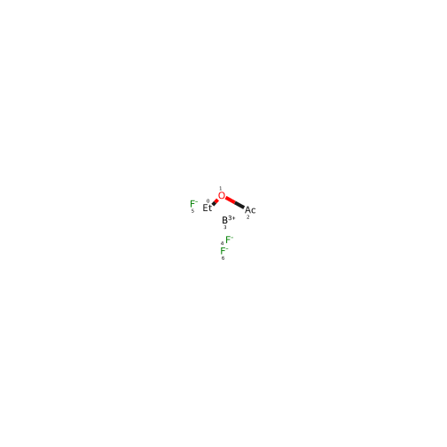 CCOC(C)=O.[B+3].[F-].[F-].[F-]